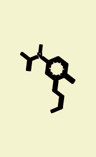 C=C(C)N(C)c1ccc(=C)/c(=C\C=C/C)c1